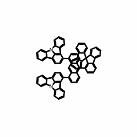 c1ccc2c(c1)-c1ccccc1C21c2ccccc2-c2cccc(-c3c4cccc(-c5ccc6c7ccccc7n7c8ccccc8c5c67)c4cc4c(-c5ccc6c7ccccc7n7c8ccccc8c5c67)cccc34)c21